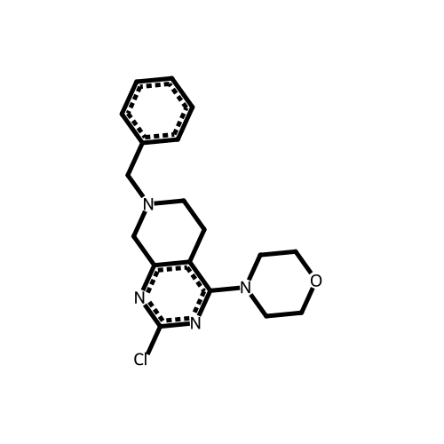 Clc1nc2c(c(N3CCOCC3)n1)CCN(Cc1ccccc1)C2